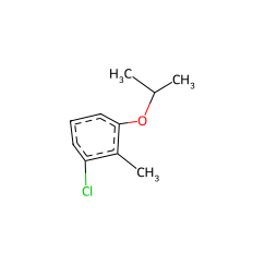 Cc1c(Cl)cccc1OC(C)C